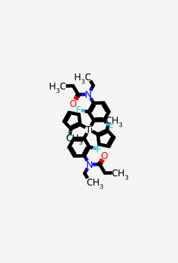 CCC(=O)N(CC)c1ccc(F)[c]([Ti]([C]2=C(C)C=CC2)([C]2=C(C)C=CC2)[c]2c(F)ccc(N(CC)C(=O)CC)c2F)c1F